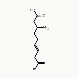 NC(CCC=CCC(=O)O)CC(=O)O